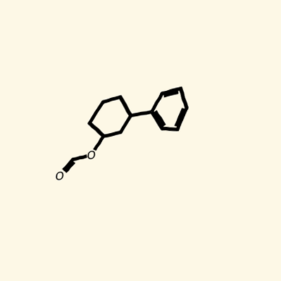 O=COC1CCCC(c2ccccc2)C1